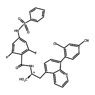 N#Cc1ccc(-c2ccc(C[C@H](NC(=O)c3c(F)cc(NS(=O)(=O)c4ccccc4)cc3F)C(=O)O)c3cccnc23)c(Cl)c1